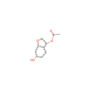 CC(=O)Oc1coc2cc(O)ccc12